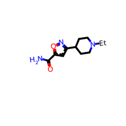 CCN1CCC(c2cc(C(N)=O)on2)CC1